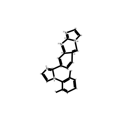 Cc1cccc(C)c1-n1ccnc1-c1ccc2cn3ccnc3nc2c1